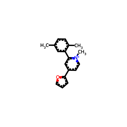 Cc1ccc(C)c(-c2cc(-c3ccco3)cc[n+]2C)c1